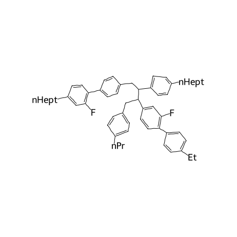 CCCCCCCc1ccc(C(Cc2ccc(-c3ccc(CCCCCCC)cc3F)cc2)C(Cc2ccc(CCC)cc2)c2ccc(-c3ccc(CC)cc3)c(F)c2)cc1